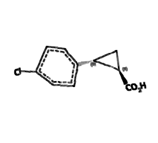 O=C(O)[C@@H]1C[C@H]1c1ccc(Cl)cc1